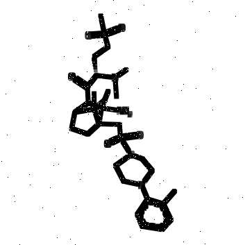 Cc1ccccc1N1CCN(S(=O)(=O)CC23CCC(C(C(=O)[C@H](CCS(C)(=O)=O)N(C)C)C2(C)N)C3(C)C)CC1